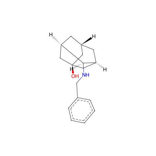 O[C@]12C[C@@H]3C[C@H](C1)[C@H](NCc1ccccc1)[C@@H](C3)C2